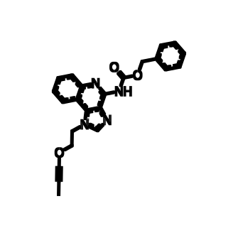 CC#COCCn1cnc2c(NC(=O)OCc3ccccc3)nc3ccccc3c21